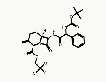 C=C1CS[C@H]2[C@H](NC(=O)C(NC(=O)OC(C)(C)C)c3ccccc3)C(=O)N2[C@H]1C(=O)OCC(Cl)(Cl)Cl